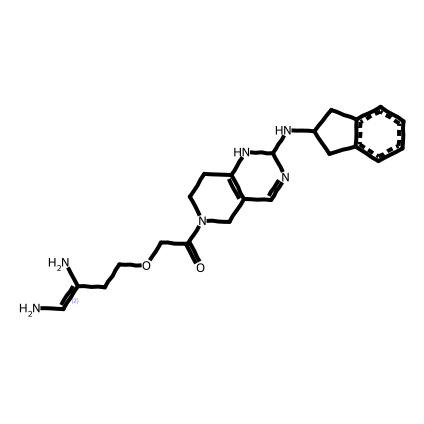 N/C=C(\N)CCOCC(=O)N1CCC2=C(C=NC(NC3Cc4ccccc4C3)N2)C1